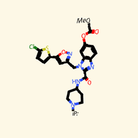 COC(=O)Oc1ccc2nc(C(=O)NC3CCN(C(C)C)CC3)n(Cc3cc(-c4ccc(Cl)s4)on3)c2c1